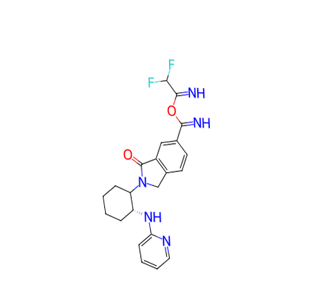 N=C(OC(=N)C(F)F)c1ccc2c(c1)C(=O)N(C1CCCC[C@H]1Nc1ccccn1)C2